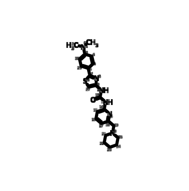 CN(C)c1ccc(-c2nc(NC(=O)Nc3cccc(CN4CCCCC4)n3)cs2)cc1